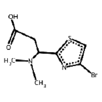 CN(C)C(CC(=O)O)c1nc(Br)cs1